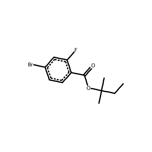 CCC(C)(C)OC(=O)c1ccc(Br)cc1F